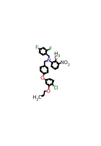 C=CCOc1cc(Oc2ccc(CN(Cc3ccc(F)cc3F)c3cccc([N+](=O)[O-])c3C)cc2)ccc1Cl